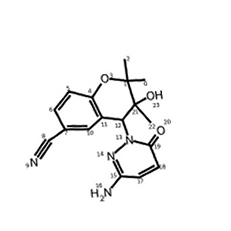 CC1(C)Oc2ccc(C#N)cc2C(n2nc(N)ccc2=O)C1(C)O